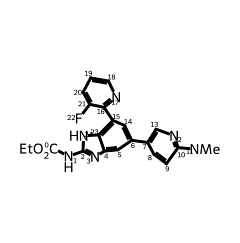 CCOC(=O)Nc1nc2cc(-c3ccc(NC)nc3)cc(-c3ncccc3F)c2[nH]1